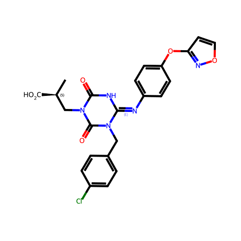 C[C@@H](Cn1c(=O)[nH]/c(=N\c2ccc(Oc3ccon3)cc2)n(Cc2ccc(Cl)cc2)c1=O)C(=O)O